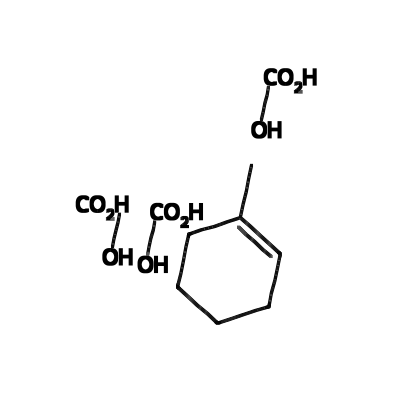 CC1=CCCCC1.O=C(O)O.O=C(O)O.O=C(O)O